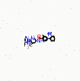 Cc1cc(-c2ccccc2N(C)C)ccc1C(=O)Nc1cnc(-n2nccn2)c(C(F)(F)F)c1